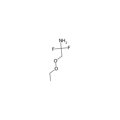 CCOOCC(N)(F)F